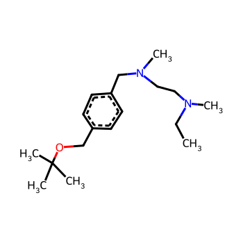 CCN(C)CCN(C)Cc1ccc(COC(C)(C)C)cc1